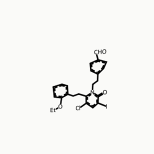 CCOc1ccccc1CCc1c(Cl)cc(I)c(=O)n1CCc1ccc(C=O)cc1